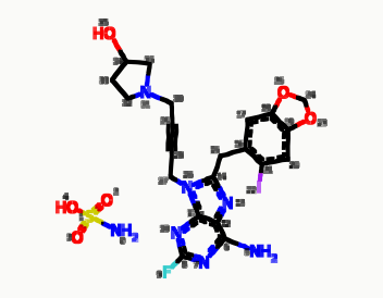 NS(=O)(=O)O.Nc1nc(F)nc2c1nc(Cc1cc3c(cc1I)OCO3)n2CC#CCN1CCC(O)C1